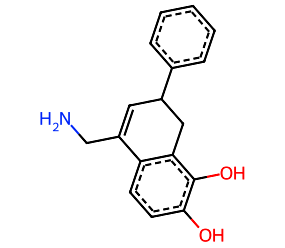 NCC1=CC(c2ccccc2)Cc2c1ccc(O)c2O